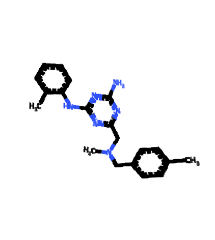 Cc1ccc(CN(C)Cc2nc(N)nc(Nc3ccccc3C)n2)cc1